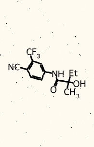 CCC(C)(O)C(=O)Nc1ccc(C#N)c(C(F)(F)F)c1